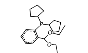 CCOC(OCC)c1ccccc1P(C1CCCC1)C1CCCC1